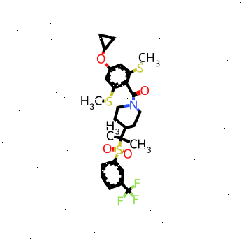 CSc1cc(OC2CC2)cc(SC)c1C(=O)N1CCC(C(C)(C)S(=O)(=O)c2cccc(C(F)(F)F)c2)CC1